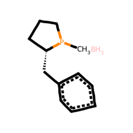 B.CP1CCC[C@H]1Cc1ccccc1